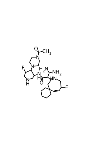 CC(=O)N1CCN(C2C(F)CNCC2NC(=O)C(C(N)N)C2CC3(/C=C\C(F)CN2)CCCCC3)CC1